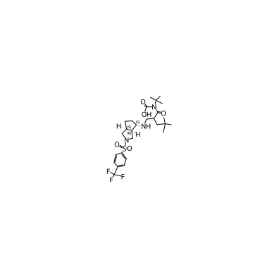 CC(C)(C)CC(CN[C@H]1CC[C@@H]2CN(S(=O)(=O)c3ccc(C(F)(F)F)cc3)C[C@@H]21)C(=O)N(C(=O)O)C(C)(C)C